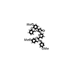 COc1ccc(CN(Cc2ccc(OC)cc2)C(=O)c2cccc(N3C[C@@H](c4ccc(OC)c(Oc5ccccc5C#N)c4)CC3=O)n2)cc1